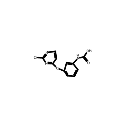 O=C(O)Nc1cccc(Oc2ccnc(Cl)n2)c1